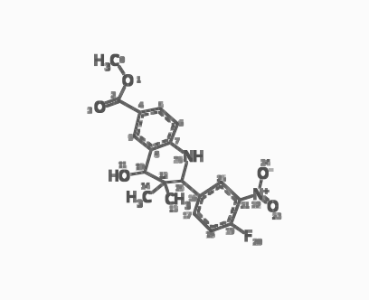 COC(=O)c1ccc2c(c1)C(O)C(C)(C)C(c1ccc(F)c([N+](=O)[O-])c1)N2